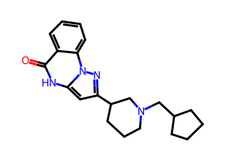 O=c1[nH]c2cc(C3CCCN(CC4CCCC4)C3)nn2c2ccccc12